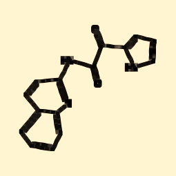 O=C(Nc1ccc2ccccc2n1)C(=O)c1ccc[nH]1